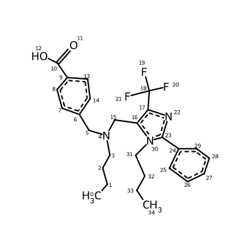 CCCCN(Cc1ccc(C(=O)O)cc1)Cc1c(C(F)(F)F)nc(-c2ccccc2)n1CCCC